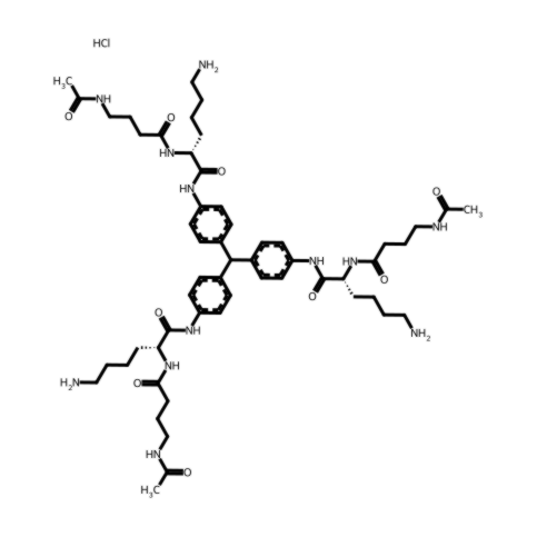 CC(=O)NCCCC(=O)N[C@H](CCCCN)C(=O)Nc1ccc(C(c2ccc(NC(=O)[C@@H](CCCCN)NC(=O)CCCNC(C)=O)cc2)c2ccc(NC(=O)[C@@H](CCCCN)NC(=O)CCCNC(C)=O)cc2)cc1.Cl